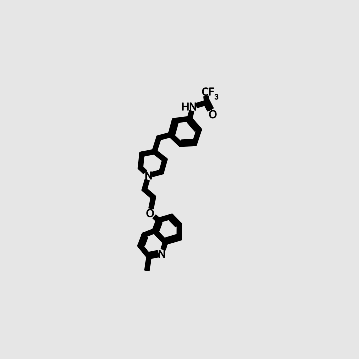 Cc1ccc2c(OCCN3CCC(Cc4cccc(NC(=O)C(F)(F)F)c4)CC3)cccc2n1